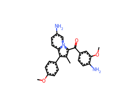 COc1ccc(-c2c(C)c(C(=O)c3ccc(N)c(OC)c3)n3cc(N)ccc23)cc1